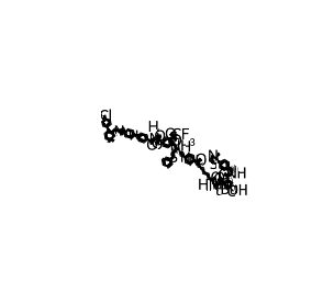 Cc1ncsc1-c1ccc([C@H](C)NC(=O)[C@@H]2C[C@@H](O)CN2C(=O)[C@@H](NC(=O)CCCCCC(=O)N2CCN(CC[C@H](CSc3ccccc3)Nc3ccc(S(=O)(=O)NC(=O)c4ccc(N5CCC6(CC5)CN(CC5=C(c7ccc(Cl)cc7)CCC(C)(C)C5)C6)cc4)cc3S(=O)(=O)C(F)(F)F)CC2)C(C)(C)C)cc1